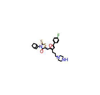 O=C1/C(=C/c2oc(-c3ccc(F)cc3)cc2CCCN2CCNCC2)SC(=S)N1C1CC2CCC1C2